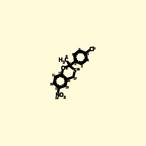 CC1(c2ccc(Cl)cc2)Oc2ccc([N+](=O)[O-])cc2CS1